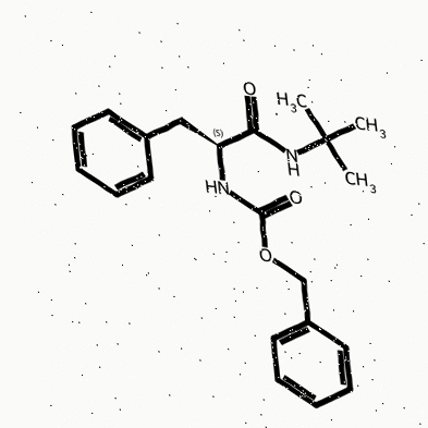 CC(C)(C)NC(=O)[C@H](Cc1ccccc1)NC(=O)OCc1ccccc1